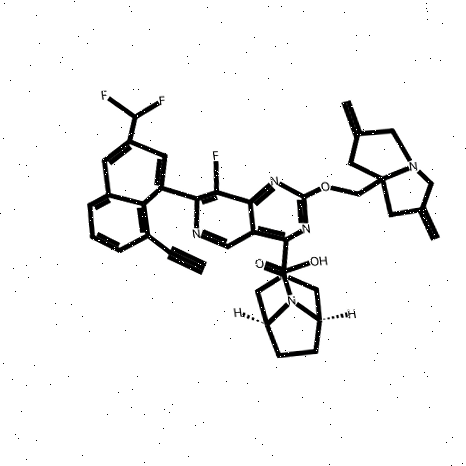 C#Cc1cccc2cc(C(F)F)cc(-c3ncc4c(N5C[C@H]6CC[C@@H](C5)N6C(=O)O)nc(OCC56CC(=C)CN5CC(=C)C6)nc4c3F)c12